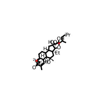 [2H]C([2H])(C)[C@]12C=C(C)C(=O)C=C1CC[C@@H]1[C@@H]2[C@@](C)(O)C[C@@]2(CC)[C@H]1C[C@H]1OC(C(C)CC(C)C)O[C@]12C(=O)CO